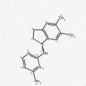 Cc1cc2c(cc1C)[C@@H](Nc1ncnc(N)n1)CC2